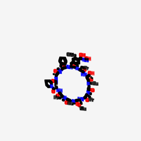 CCCCN1CC(=O)N(C)[C@@H](CC(C)C)C(=O)N[C@@H](COC(C)(C)C)C(=O)N(C)[C@@H]([C@@H](C)CC)C(=O)N(C)[C@@H](CC(C)C)C(=O)N[C@H](C(=O)N2CCCCC2)CC(=O)N[C@H](C)C(=O)N(C)[C@@H](Cc2ccccc2)C(=O)N[C@@H](Cc2ccc(C(O)NO)c(OC)c2)C(=O)N(C)[C@@H](CC(C)C)C(=O)N[C@@H]([C@@H](C)O)C1=O